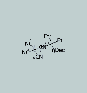 CCCCCCCCCC[P+](CC)(CC)CC.N#C[B-](C#N)(C#N)C#N